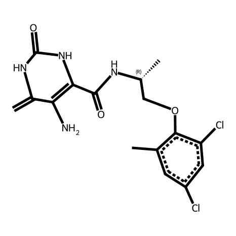 C=C1NC(=O)NC(C(=O)N[C@H](C)COc2c(C)cc(Cl)cc2Cl)=C1N